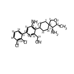 C[C@@H]1OCC2(CCC(c3c(N)cc(-c4cccc(Cl)c4Cl)nc3CO)CC2)[C@@H]1N